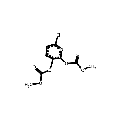 COC(=O)Oc1ccc(Cl)nc1OC(=O)OC